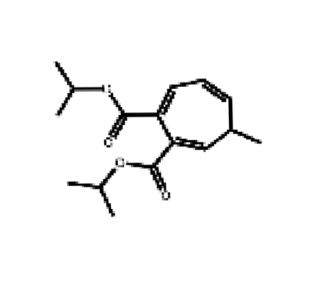 CC1C=CC=C(C(=O)OC(C)C)C(C(=O)OC(C)C)=C1